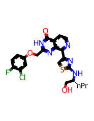 CCC[C@H](CO)Nc1nc(-c2nccc3c(=O)[nH]c(COc4ccc(F)c(Cl)c4)nc23)cs1